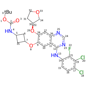 CC(C)(C)OC(=O)NC1CC(Oc2cc3c(Nc4ccc(Cl)c(Cl)c4F)ncnc3cc2O[C@H]2CCOC2)C1